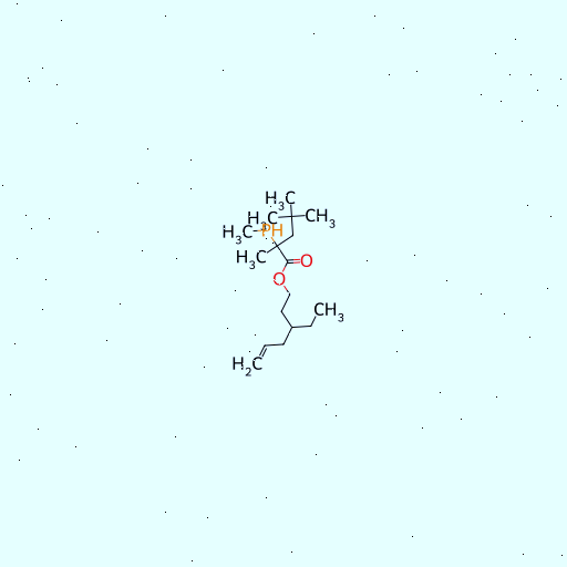 C=CCC(CC)CCOC(=O)C(C)(CC(C)(C)C)PC